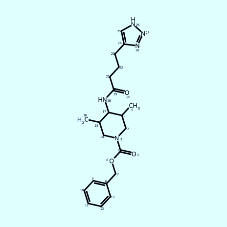 CC1CN(C(=O)OCc2ccccc2)CC(C)C1NC(=O)CCCc1c[nH]nn1